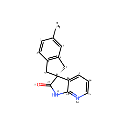 CC(C)c1ccc2c(c1)C[C@@]1(C2)C(=O)Nc2ncccc21